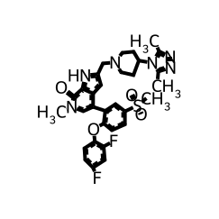 Cc1nnc(C)n1C1CCN(Cc2cc3c(-c4cc(S(C)(=O)=O)ccc4Oc4ccc(F)cc4F)cn(C)c(=O)c3[nH]2)CC1